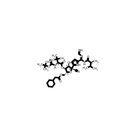 CC(C)[C@H](C)C(=O)N/C(=N/C=N)c1ccc([C@]2(C#N)O[C@H](COC(=O)CC3CCCCC3)[C@@H](OC(=O)[C@@H](NC(=O)OC(C)(C)C)C(C)(C)C)[C@H]2O)[nH]1